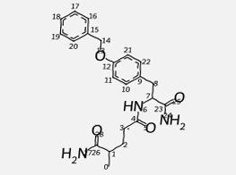 CC(C[CH]C(=O)NC(Cc1ccc(OCc2ccccc2)cc1)C(N)=O)C(N)=O